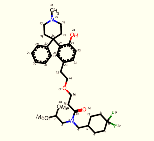 COC(CN(CC1CCC(F)(F)CC1)C(=O)CCOCCc1ccc(O)c(C2(c3ccccc3)CCN(C)CC2)c1)OC